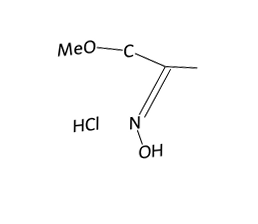 COCC(C)=NO.Cl